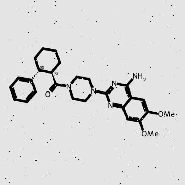 COc1cc2nc(N3CCN(C(=O)[C@@H]4CCCC[C@H]4c4ccccc4)CC3)nc(N)c2cc1OC